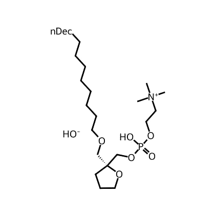 CCCCCCCCCCCCCCCCCCOC[C@@]1(COP(=O)(O)OCC[N+](C)(C)C)CCCO1.[OH-]